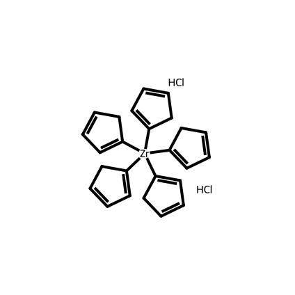 C1=CC[C]([Zr]([C]2=CC=CC2)([C]2=CC=CC2)([C]2=CC=CC2)[C]2=CC=CC2)=C1.Cl.Cl